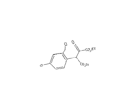 CCOC(=O)C(=O)C(C(=O)OCC)c1ccc(Cl)cc1Cl